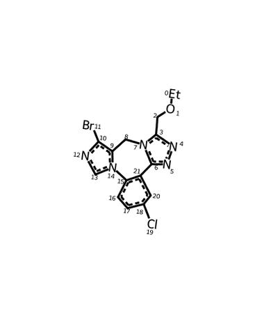 CCOCc1nnc2n1Cc1c(Br)ncn1-c1ccc(Cl)cc1-2